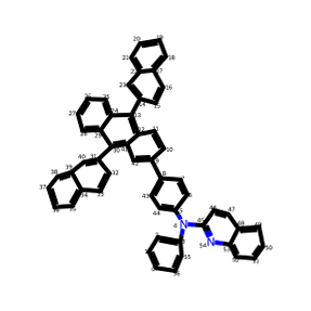 c1ccc(N(c2ccc(-c3ccc4c(-c5ccc6ccccc6c5)c5ccccc5c(-c5ccc6ccccc6c5)c4c3)cc2)c2ccc3ccccc3n2)cc1